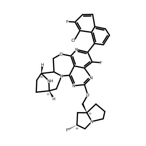 Fc1ccc2cccc(-c3nc4c5c(nc(OC[C@@]67CCCN6C[C@H](F)C7)nc5c3F)N3C[C@@H]5CC[C@@H](N5)C3CO4)c2c1Cl